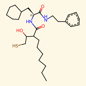 CCCCCCCC(C(=O)N[C@@H](CC1CCCCC1)C(=O)NCCc1ccccc1)C(O)CS